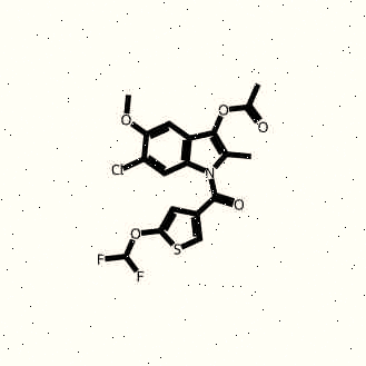 COc1cc2c(OC(C)=O)c(C)n(C(=O)c3csc(OC(F)F)c3)c2cc1Cl